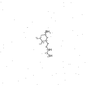 BC(C)CC(CCNSS)C(C)CC